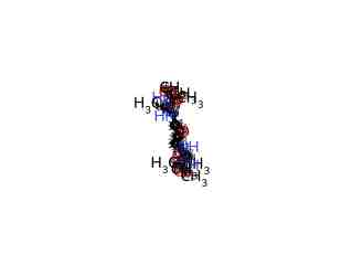 CC[C@H]1C[C@@H](c2ncc(-c3ccc4c(c3)COc3cc5c(ccc6nc([C@@H]7CC[C@H](C)N7C(=O)C(NC(=O)OC)C(C)C)[nH]c65)cc3-4)[nH]2)N(C(=O)[C@@H](NC(=O)OC)[C@@H](C)OC)C1